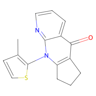 Cc1ccsc1-n1c2c(c(=O)c3cccnc31)CCC2